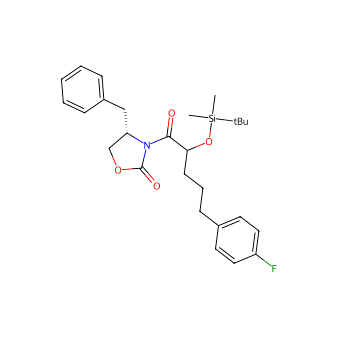 CC(C)(C)[Si](C)(C)OC(CCCc1ccc(F)cc1)C(=O)N1C(=O)OC[C@@H]1Cc1ccccc1